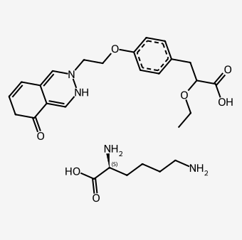 CCOC(Cc1ccc(OCCN2C=C3C=CCC(=O)C3=CN2)cc1)C(=O)O.NCCCC[C@H](N)C(=O)O